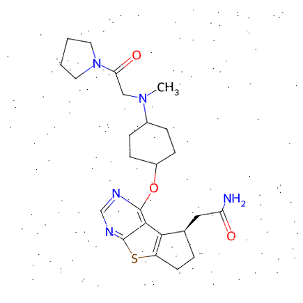 CN(CC(=O)N1CCCC1)C1CCC(Oc2ncnc3sc4c(c23)[C@@H](CC(N)=O)CC4)CC1